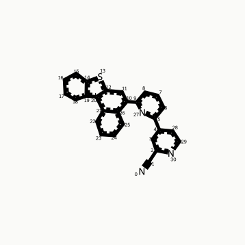 N#Cc1cc(-c2cccc(-c3cc4sc5ccccc5c4c4ccccc34)n2)ccn1